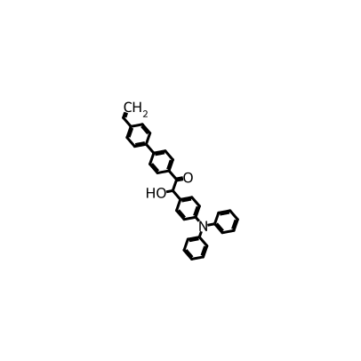 C=Cc1ccc(-c2ccc(C(=O)C(O)c3ccc(N(c4ccccc4)c4ccccc4)cc3)cc2)cc1